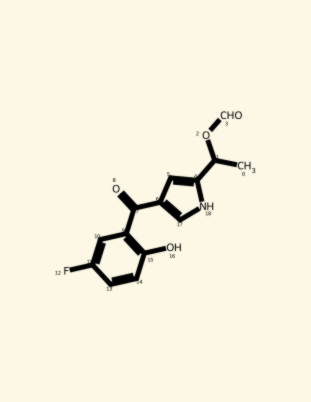 CC(OC=O)c1cc(C(=O)c2cc(F)ccc2O)c[nH]1